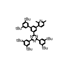 Cc1ccc(-c2cc(-c3cc(C(C)(C)C)cc(C(C)(C)C)c3)cc(-c3nc(-c4cc(C(C)(C)C)cc(C(C)(C)C)c4)nc(-c4cc(C(C)(C)C)cc(C(C)(C)C)c4)n3)c2)c(C)n1